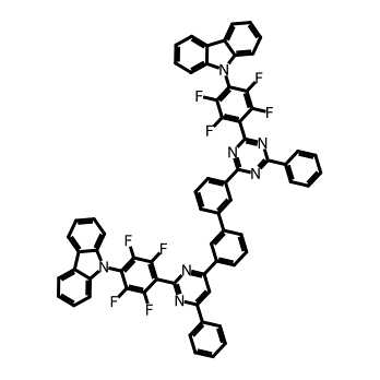 Fc1c(F)c(-n2c3ccccc3c3ccccc32)c(F)c(F)c1-c1nc(-c2ccccc2)cc(-c2cccc(-c3cccc(-c4nc(-c5ccccc5)nc(-c5c(F)c(F)c(-n6c7ccccc7c7ccccc76)c(F)c5F)n4)c3)c2)n1